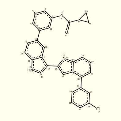 O=C(Nc1cncc(-c2cnc3[nH]nc(-c4cc5c(-c6cccc(Cl)c6)cccc5[nH]4)c3c2)c1)C1CC1